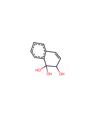 OC1C=Cc2ccccc2C1(O)O